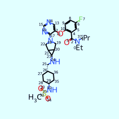 CCN(C(=O)c1cc(F)ccc1Oc1cncnc1N1CC2C(C1)C2NC[C@H]1CC[C@H](NS(C)(=O)=O)CC1)C(C)C